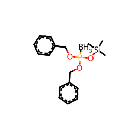 [BH3-][P+](OCc1ccccc1)(OCc1ccccc1)O[Si](C)(C)C